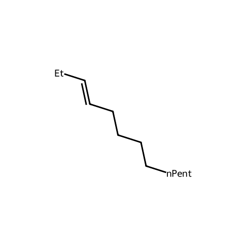 [CH2]CC=CCCCCCCCC[CH2]